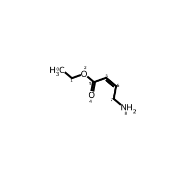 CCOC(=O)/C=C\CN